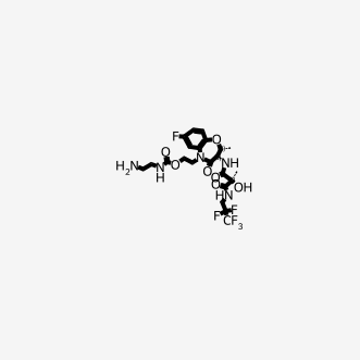 C[C@H]1Oc2ccc(F)cc2N(CCOC(=O)NCCN)C(=O)[C@H]1NC(=O)[C@@](C)(O)C(=O)NCC(F)(F)C(F)(F)F